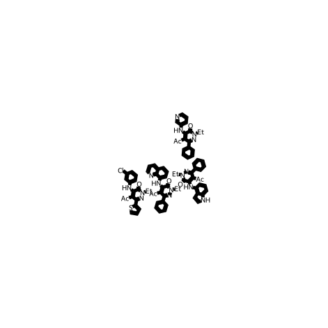 CCn1nc(-c2ccccc2)c(C(C)=O)c(Nc2cccc3[nH]ccc23)c1=O.CCn1nc(-c2ccccc2)c(C(C)=O)c(Nc2cccc3cccnc23)c1=O.CCn1nc(-c2ccccc2)c(C(C)=O)c(Nc2cccnc2)c1=O.CCn1nc(-c2cccs2)c(C(C)=O)c(Nc2cccc(Cl)c2)c1=O